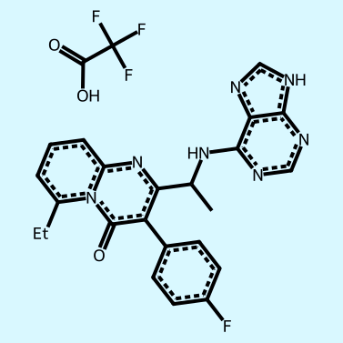 CCc1cccc2nc(C(C)Nc3ncnc4[nH]cnc34)c(-c3ccc(F)cc3)c(=O)n12.O=C(O)C(F)(F)F